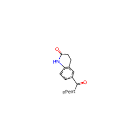 CCCCCC(=O)c1ccc2c(c1)CCC(=O)N2